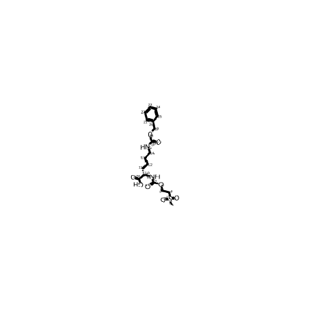 CS(=O)(=O)CCOC(=O)N[C@@H](CCCCNC(=O)OCc1ccccc1)C(=O)O